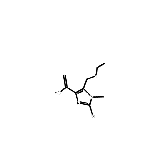 C=C(O)c1nc(Br)n(C)c1CSCC